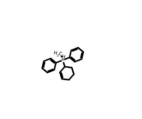 C[PH](c1ccccc1)(c1ccccc1)C1C=CCCC1